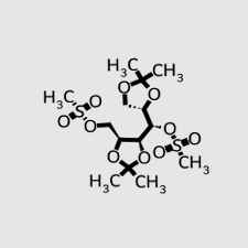 CC1(C)OC[C@@H]([C@H](OS(C)(=O)=O)[C@H]2OC(C)(C)O[C@H]2COS(C)(=O)=O)O1